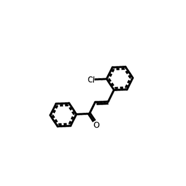 O=C(/C=C/c1ccccc1Cl)c1ccccc1